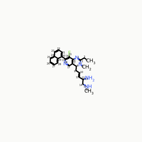 C=N/C(CC)=N\c1c(CCC=CC(N)CNC)cnc(-c2cccc3ccccc23)c1F